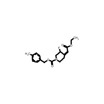 CCOC(=O)/C=C1/CCN(C(=O)OCc2ccc(C)cc2)CC1F